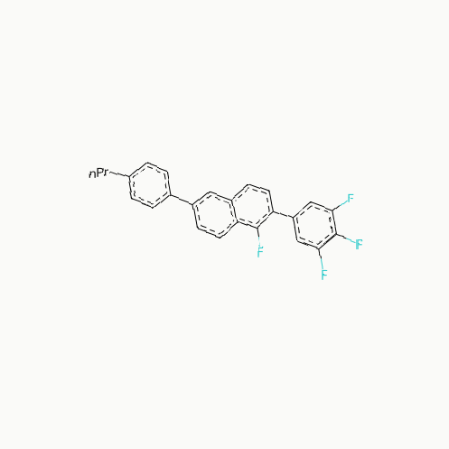 CCCc1ccc(-c2ccc3c(F)c(-c4cc(F)c(F)c(F)c4)ccc3c2)cc1